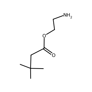 CC(C)(C)CC(=O)OCCN